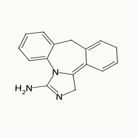 NC1=NCC2=C3C=CCC=C3Cc3ccccc3N12